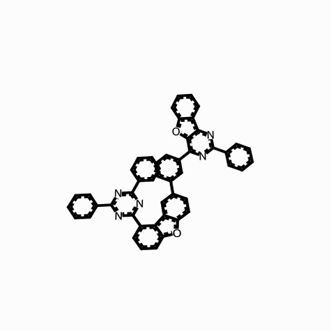 c1ccc(-c2nc(-c3ccccc3)nc(-c3cccc4oc5ccc(-c6cccc(-c7nc(-c8ccccc8)nc8c7oc7ccccc78)c6)cc5c34)n2)cc1